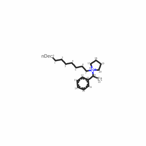 CCCCCCCCCCCCCCCCC[N+]1(C(CC)c2ccccc2)CCCC1